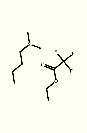 CCCC[Si](C)C.CCOC(=O)C(F)(F)F